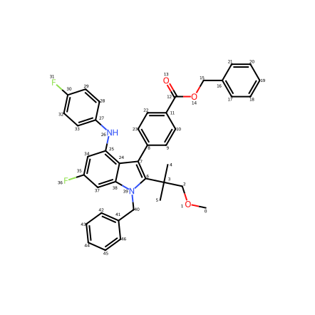 COCC(C)(C)c1c(-c2ccc(C(=O)OCc3ccccc3)cc2)c2c(Nc3ccc(F)cc3)cc(F)cc2n1Cc1ccccc1